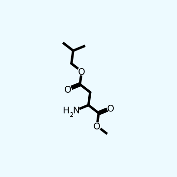 COC(=O)C(N)CC(=O)OCC(C)C